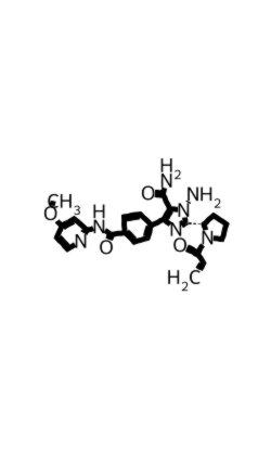 C=CC(=O)N1CCC[C@H]1c1nc(-c2ccc(C(=O)Nc3cc(OC)ccn3)cc2)c(C(N)=O)n1N